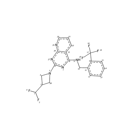 FC(F)C1CN(c2nc(NCc3ccccc3C(F)(F)F)c3cccnc3n2)C1